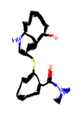 CN(C)C(=O)c1ccccc1Sc1c[nH]c2cccc(O)c12